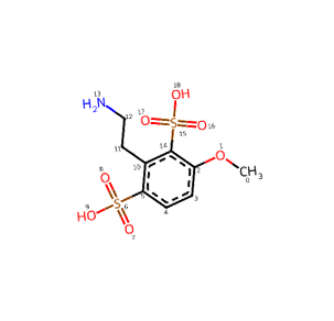 COc1ccc(S(=O)(=O)O)c(CCN)c1S(=O)(=O)O